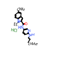 CCn1c(C(=O)Nc2ccc(NCCCOC)nc2)cc2cc(OC)ccc21.Cl